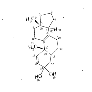 C[C@@]12CCC[C@H]1C1=C(CC2)[C@@]2(C)C=CC(O)(O)CC2CC1